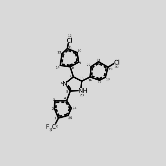 FC(F)(F)c1ccc(C2=NC(c3ccc(Cl)cc3)C(c3ccc(Cl)cc3)N2)cc1